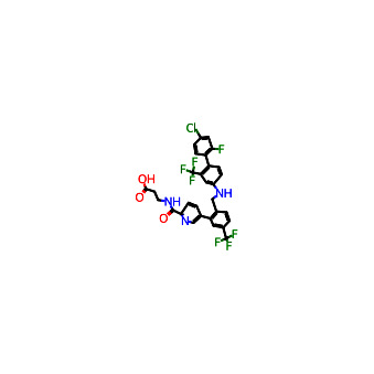 O=C(O)CCNC(=O)c1ccc(-c2cc(C(F)(F)F)ccc2CNc2ccc(-c3ccc(Cl)cc3F)c(C(F)(F)F)c2)cn1